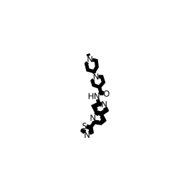 CN1CCC(N2CCC(C(=O)Nc3cc4nc(-c5cncs5)ccc4cn3)CC2)CC1